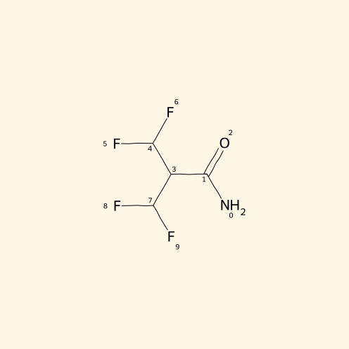 NC(=O)C(C(F)F)C(F)F